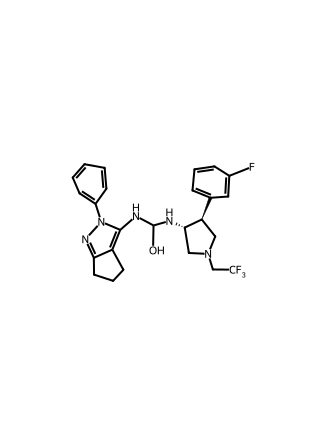 OC(Nc1c2c(nn1-c1ccccc1)CCC2)N[C@H]1CN(CC(F)(F)F)C[C@@H]1c1cccc(F)c1